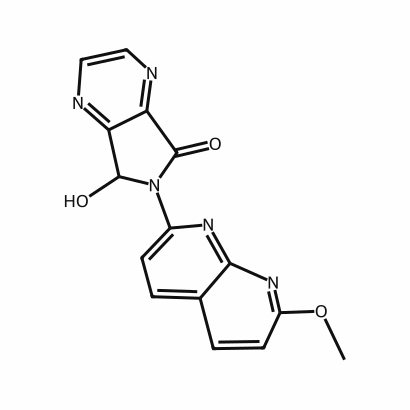 COc1ccc2ccc(N3C(=O)c4nccnc4C3O)nc2n1